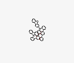 c1ccc(-c2ccc(-c3ccccc3N(c3ccc(-c4cccc(-c5ccccc5-n5c6ccccc6c6ccccc65)c4)cc3)c3ccc4c(c3)oc3ccccc34)cc2)cc1